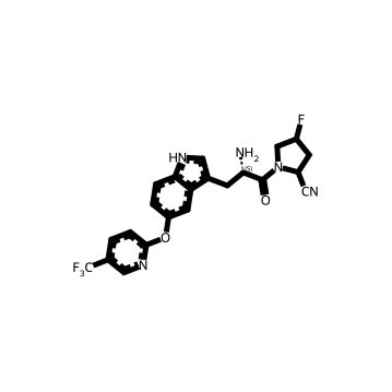 N#CC1CC(F)CN1C(=O)[C@@H](N)Cc1c[nH]c2ccc(Oc3ccc(C(F)(F)F)cn3)cc12